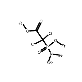 CCCN(CCC)P(=O)(OCC)C(Cl)(Cl)C(=O)OC(C)C